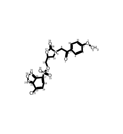 COc1ccc(C(=O)CN2CC(COS(=O)(=O)c3ccc(Cl)c4nonc34)OC2=O)cc1